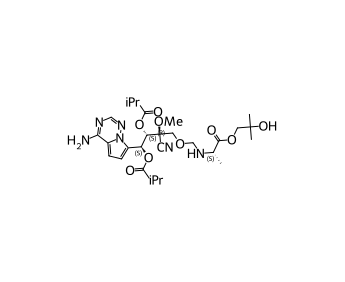 CO[C@](C#N)(COCN[C@@H](C)C(=O)OCC(C)(C)O)[C@@H](OC(=O)C(C)C)[C@@H](OC(=O)C(C)C)c1ccc2c(N)ncnn12